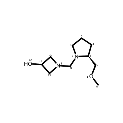 COC[C@@H]1CCCN1CN1CC(O)C1